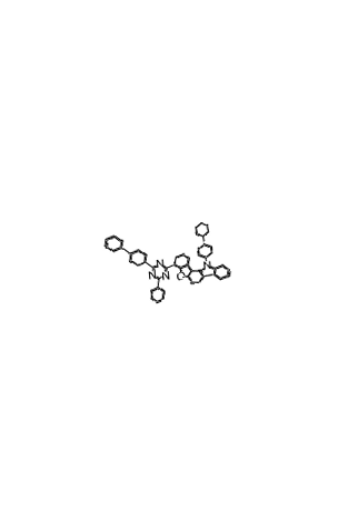 c1ccc(-c2ccc(-c3nc(-c4ccccc4)nc(-c4cccc5c4oc4ccc6c7ccccc7n(-c7ccc(-c8ccccc8)cc7)c6c45)n3)cc2)cc1